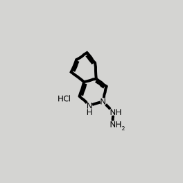 Cl.NNN1C=c2ccccc2=CN1